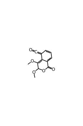 COC1=c2c(cccc2=C=O)C(=O)OC1OC